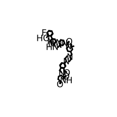 CC1(C)CC(CN2CCN(c3ccc4c(c3)C(=O)N([C@H]3CCC(=O)NC3=O)C4)CC2)CCN1C(=O)N1CCN2c3cc(-c4cccc(F)c4O)nnc3NCC2(C)C1